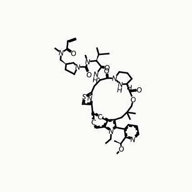 C=CC(=O)N(C)C[C@@H]1CCN(C(=O)N(C)[C@H](C(=O)N[C@H]2Cc3nc(cs3)-c3ccc4c(c3)c(c(-c3cccnc3[C@H](C)OC)n4CC)CC(C)(C)COC(=O)[C@@H]3CCCN(N3)C2=O)C(C)C)C1